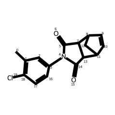 Cc1cc(N2C(=O)C3C4C=CC(C4)C3C2=O)ccc1Cl